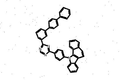 c1ccc(-c2ccc(-c3cccc(-c4ncnc(-c5ccc(-n6c7ccccc7c7ccc8ccccc8c76)cc5)n4)c3)cc2)cc1